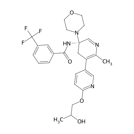 CC1=C(c2ccc(OCC(C)O)nc2)C[C@@](NC(=O)c2cccc(C(F)(F)F)c2)(N2CCOCC2)C=N1